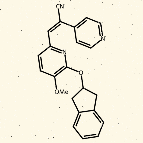 COc1ccc(C=C(C#N)c2ccncc2)nc1OC1Cc2ccccc2C1